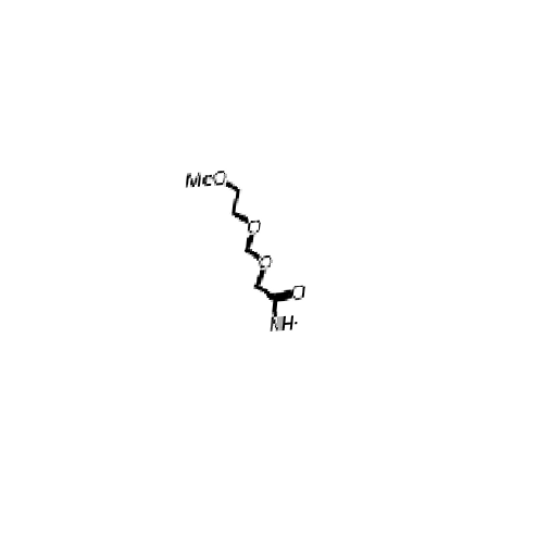 COCCOCOCC([NH])=O